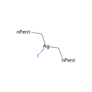 CCCCC[CH2][Ag]([I])[CH2]CCCCC